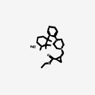 CCOC(=O)C1CC1CN1CCN(c2ccccc2C2(C)CCCC(C)C2(C)C)CC1.Cl